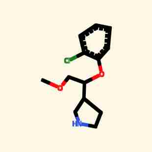 COCC(Oc1ccccc1Cl)C1CCNC1